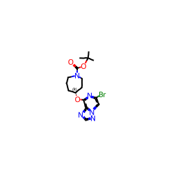 CC(C)(C)OC(=O)N1CCC[C@@H](Oc2nc(Br)cn3ncnc23)CC1